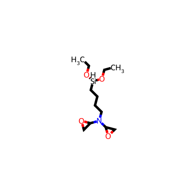 CCO[SiH](CCCCN(C1CO1)C1CO1)OCC